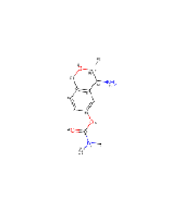 CCN(C)C(=O)Oc1ccc2c(c1)C(N)[C@@H](C)OC2